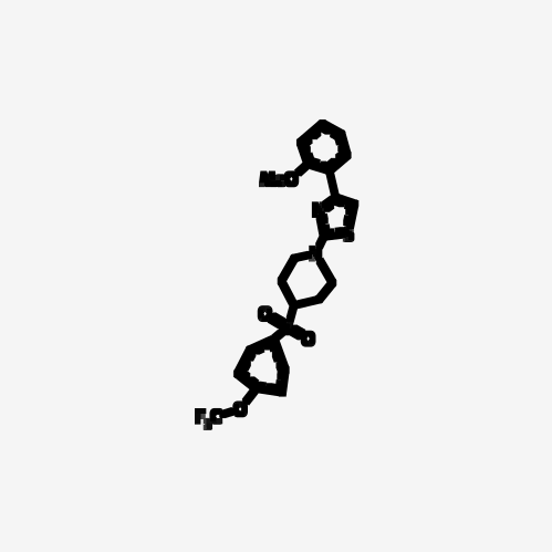 COc1ccccc1-c1csc(N2CCC(S(=O)(=O)c3ccc(OC(F)(F)F)cc3)CC2)n1